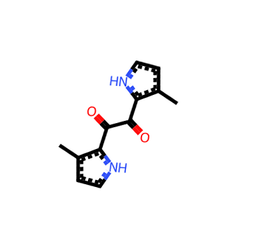 Cc1cc[nH]c1C(=O)C(=O)c1[nH]ccc1C